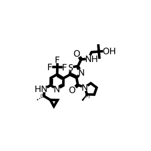 C[C@H](Nc1cc(C(F)(F)F)c(-c2sc(C(=O)NCC(C)(C)O)nc2C(=O)N2CCC[C@H]2C)cn1)C1CC1